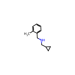 Cc1ccccc1CNCC1CC1